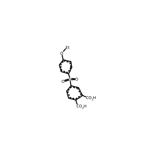 CCOc1ccc(S(=O)(=O)c2ccc(C(=O)O)c(C(=O)O)c2)cc1